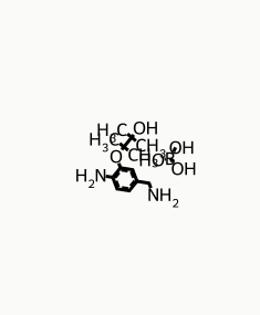 CC(C)(O)C(C)(C)Oc1cc(CN)ccc1N.OB(O)O